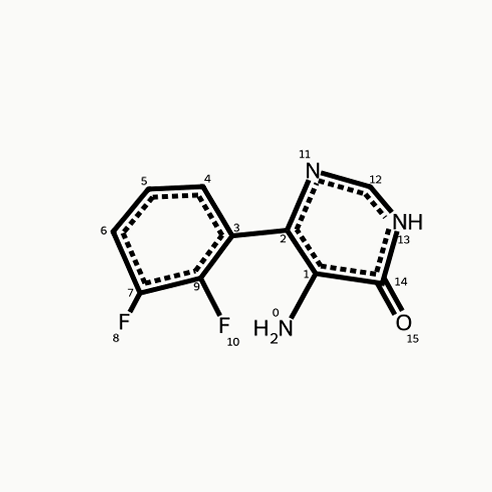 Nc1c(-c2cccc(F)c2F)nc[nH]c1=O